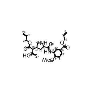 C=CCOC(=O)c1ccc(OC)c(NC(=O)C2CC(C(C(=O)OCC=C)C(O)=S)CN2)c1